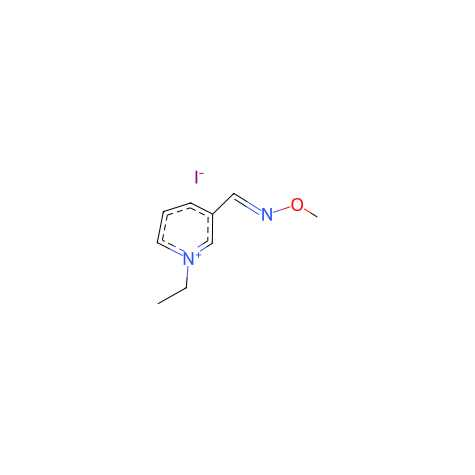 CC[n+]1cccc(C=NOC)c1.[I-]